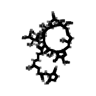 COc1cc2cc(c1Cl)N(C)C(=O)C(C(=O)CCSSC(C)CCC(=O)ON1C(=O)CCC1=O)[C@H](OC(=O)[C@H](C)N(C)C(C)=O)[C@]1(C)O[C@H]1[C@H](C)[C@@H]1C[C@@](O)(NC(=O)O1)C(OC)/C=C/C=C(\C)C2